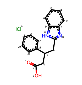 Cl.O=C(O)CC(Cc1nc2ccccc2[nH]1)c1ccccc1